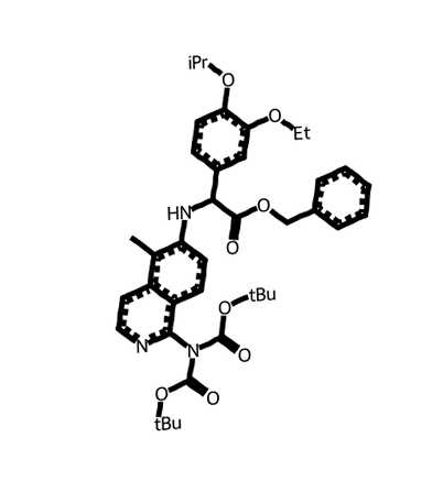 CCOc1cc(C(Nc2ccc3c(N(C(=O)OC(C)(C)C)C(=O)OC(C)(C)C)nccc3c2C)C(=O)OCc2ccccc2)ccc1OC(C)C